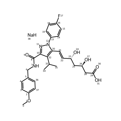 COc1ccc(CNC(=O)c2nn(-c3ccc(F)cc3)c(/C=C/[C@H](O)C[C@@H](O)CC(=O)O)c2C(C)C)cc1.[NaH]